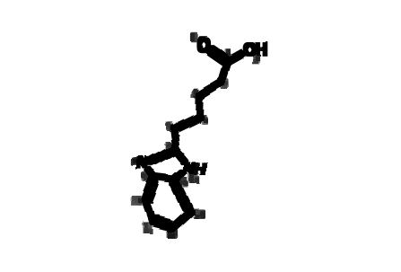 O=C(O)CCCCc1nc2ccccc2[nH]1